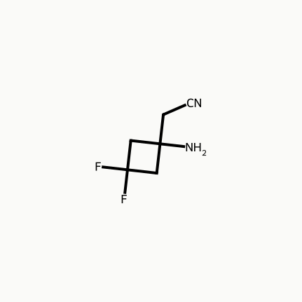 N#CCC1(N)CC(F)(F)C1